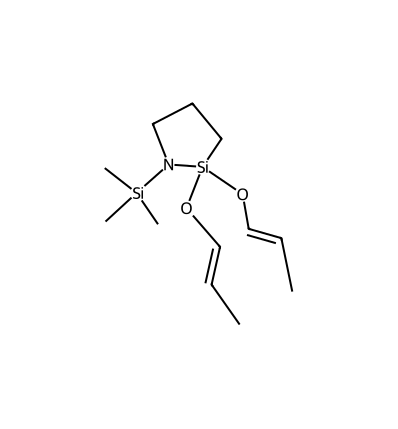 CC=CO[Si]1(OC=CC)CCCN1[Si](C)(C)C